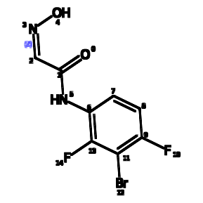 O=C(/C=N\O)Nc1ccc(F)c(Br)c1F